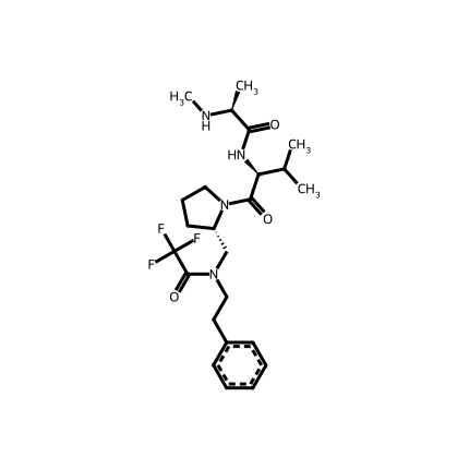 CN[C@@H](C)C(=O)N[C@H](C(=O)N1CCC[C@H]1CN(CCc1ccccc1)C(=O)C(F)(F)F)C(C)C